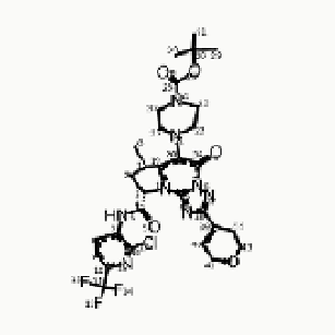 C[C@@H]1C[C@@H](C(=O)Nc2ccc(C(F)(F)F)nc2Cl)n2c1c(N1CCN(C(=O)OC(C)(C)C)CC1)c(=O)n1nc(C3=CCOCC3)nc21